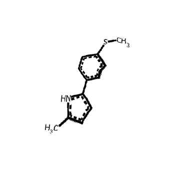 CSc1ccc(-c2ccc(C)[nH]2)cc1